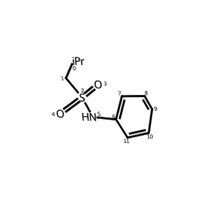 CC(C)CS(=O)(=O)Nc1ccccc1